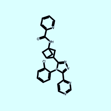 O=C(NC12CC(C1)C(c1nnc(-c3ccncn3)n1-c1ccccc1Cl)C2)c1ccccn1